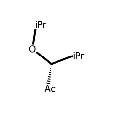 CC(=O)[C@H](OC(C)C)C(C)C